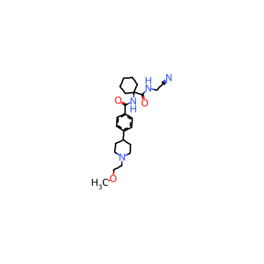 COCCN1CCC(c2ccc(C(=O)NC3(C(=O)NCC#N)CCCCC3)cc2)CC1